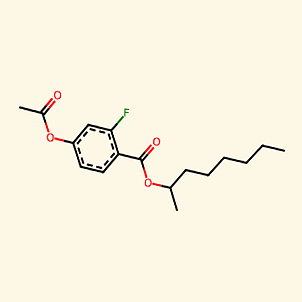 CCCCCCC(C)OC(=O)c1ccc(OC(C)=O)cc1F